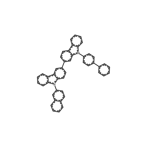 c1ccc(-c2ccc(-n3c4ccccc4c4ccc(-c5ccc6c(c5)c5ccccc5n6-c5ccc6ccccc6c5)cc43)cc2)cc1